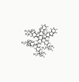 CC(C)(C)c1ccc(N2B3c4ccc(N(c5ccc(C(C)(C)C)cc5)c5ccc(C(C)(C)C)cc5)cc4-n4c5ccc(C(C)(C)C)cc5c5c6oc7ccccc7c6c(c3c54)-c3cc4c(cc32)sc2ccccc24)cc1